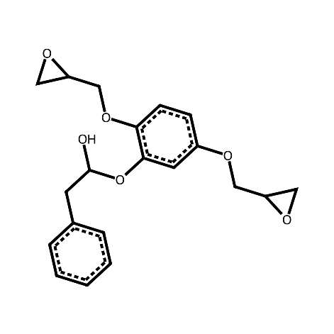 OC(Cc1ccccc1)Oc1cc(OCC2CO2)ccc1OCC1CO1